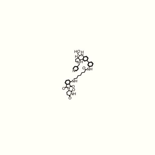 O=C1CCC(N2C(=O)c3cccc(NCCCCCCC(=O)Nc4cccc(-c5ccc6c(c5)[C@H]5[C@H](CCN5Cc5ccncc5)[C@@H](CO)N6)c4)c3C2=O)C(=O)N1